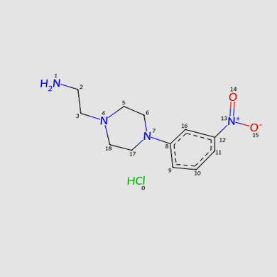 Cl.NCCN1CCN(c2cccc([N+](=O)[O-])c2)CC1